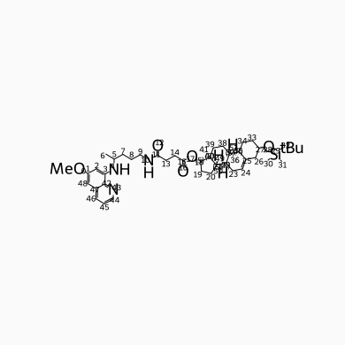 COc1cc(NC(C)CCCNC(=O)CCC(=O)O[C@H]2CC[C@H]3[C@@H]4CC=C5CC(O[Si](C)(C)C(C)(C)C)CC[C@]5(C)[C@H]4CC[C@]23C)c2ncccc2c1